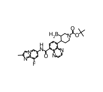 BC1CN(C(=O)OC(C)(C)C)CCC1c1ccc(C(=O)Nc2cc(F)c3nc(C)cn3c2)c2nccnc12